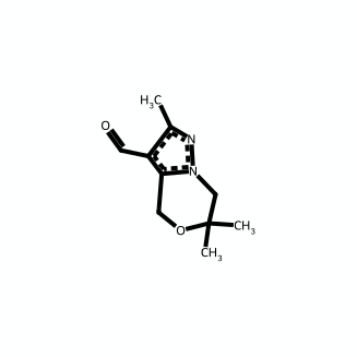 Cc1nn2c(c1C=O)COC(C)(C)C2